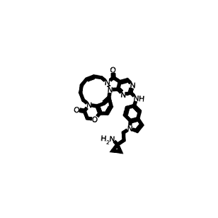 NC1(CCn2ccc3cc(Nc4ncc5c(=O)n6n(c5n4)-c4ccc5c(c4)N(CCC/C=C\C6)C(=O)CO5)ccc32)CC1